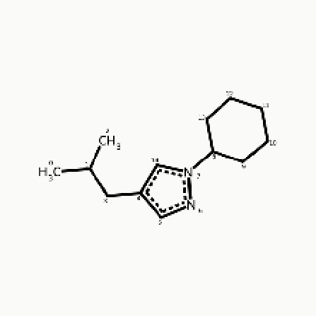 CC(C)Cc1cnn(C2CCCCC2)c1